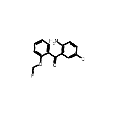 Nc1ccc(Cl)cc1C(=O)c1ccccc1OCF